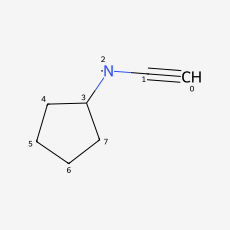 C#C[N]C1CCCC1